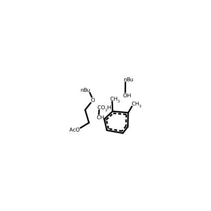 CC(=O)O.CCCCO.CCCCOCCOC(C)=O.Cc1ccccc1C